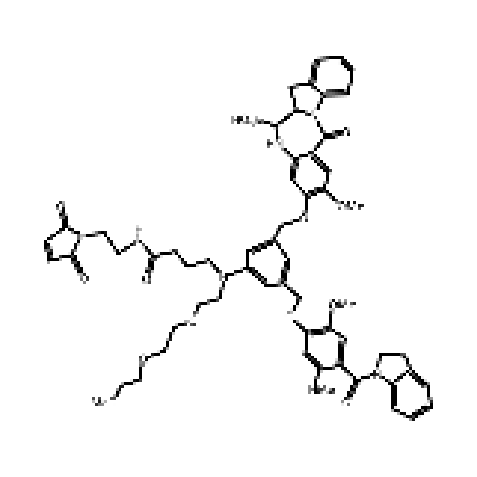 CNc1cc(OCc2cc(COc3cc4c(cc3OC)C(=O)N3c5ccccc5CC3C(S(=O)(=O)O)N4)cc(N(CCCC(=O)NCCN3C(=O)C=CC3=O)CCOCCOCCOC)c2)c(OC)cc1C(=O)N1CCc2ccccc21